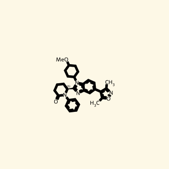 COC1CCC(n2c([C@@H]3CCCC(=O)N3c3ccccc3)nc3cc(-c4c(C)noc4C)ccc32)CC1